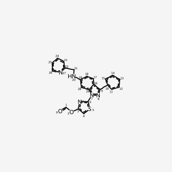 O=COc1csc(-n2nc(-c3ccccc3)c3ccc(NCc4ccccn4)cc32)n1